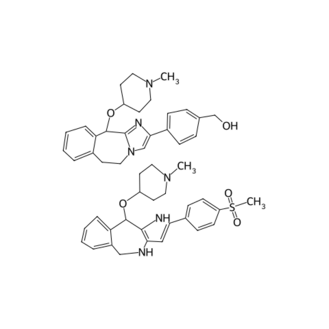 CN1CCC(OC2c3ccccc3CCn3cc(-c4ccc(CO)cc4)nc32)CC1.CN1CCC(OC2c3ccccc3CNc3cc(-c4ccc(S(C)(=O)=O)cc4)[nH]c32)CC1